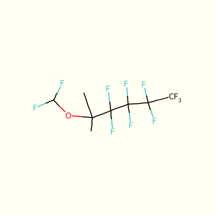 CC(C)(OC(F)F)C(F)(F)C(F)(F)C(F)(F)C(F)(F)F